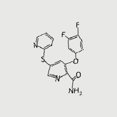 NC(=O)c1ncc(Sc2ccccn2)cc1Oc1ccc(F)c(F)c1